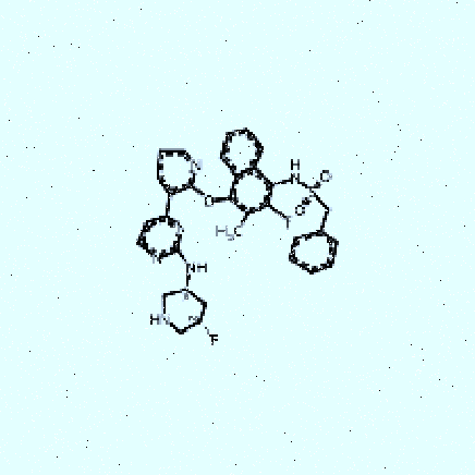 Cc1c(F)c(NS(=O)(=O)Cc2ccccc2)c2ccccc2c1Oc1ncccc1-c1ccnc(N[C@@H]2CNC[C@@H](F)C2)n1